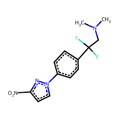 CN(C)CC(F)(F)c1ccc(-n2ccc([N+](=O)[O-])n2)cc1